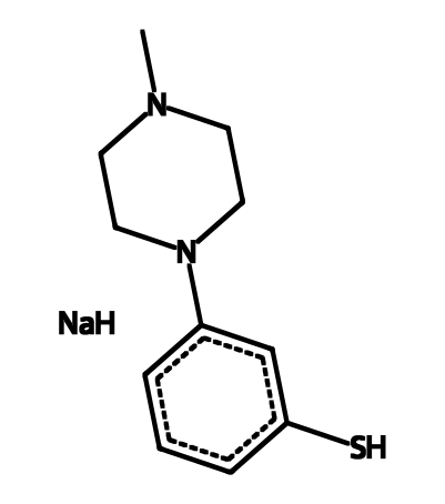 CN1CCN(c2cccc(S)c2)CC1.[NaH]